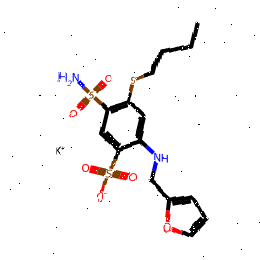 CCCCSc1cc(NCc2ccco2)c(S(=O)(=O)[O-])cc1S(N)(=O)=O.[K+]